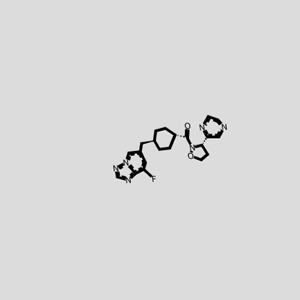 O=C([C@H]1CC[C@H](Cc2cc(F)c3ncnn3c2)CC1)N1OCC[C@H]1c1cnccn1